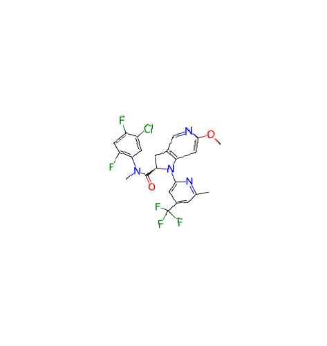 COc1cc2c(cn1)C[C@H](C(=O)N(C)c1cc(Cl)c(F)cc1F)N2c1cc(C(F)(F)F)cc(C)n1